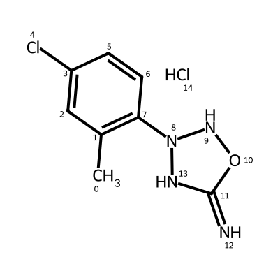 Cc1cc(Cl)ccc1N1NOC(=N)N1.Cl